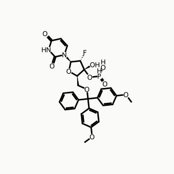 COc1ccc(C(OC[C@H]2O[C@@H](n3ccc(=O)[nH]c3=O)[C@H](F)[C@]2(O)O[PH](=O)O)(c2ccccc2)c2ccc(OC)cc2)cc1